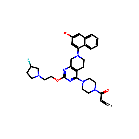 C=CC(=O)N1CCN(c2nc(OCCN3CCC(F)C3)nc3c2CCN(c2cc(O)cc4ccccc24)C3)CC1